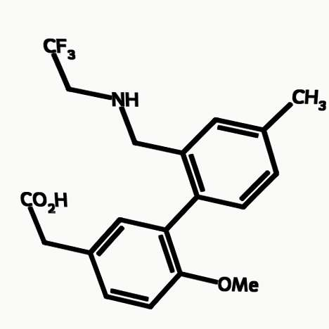 COc1ccc(CC(=O)O)cc1-c1ccc(C)cc1CNCC(F)(F)F